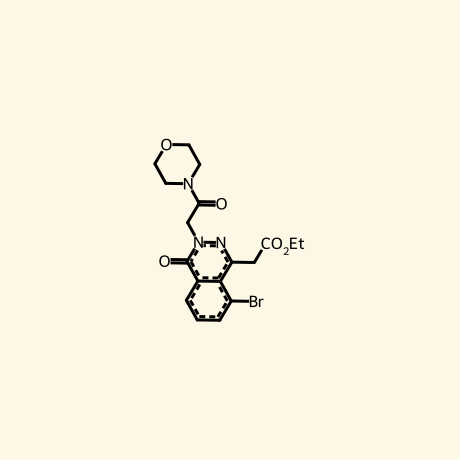 CCOC(=O)Cc1nn(CC(=O)N2CCOCC2)c(=O)c2cccc(Br)c12